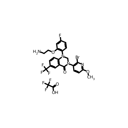 COc1ccc(N2CN(c3ccc(F)cc3OCCN)c3ccc(C(F)(F)F)cc3C2=O)c(Br)n1.O=C(O)C(F)(F)F